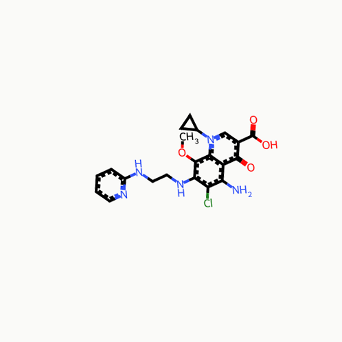 COc1c(NCCNc2ccccn2)c(Cl)c(N)c2c(=O)c(C(=O)O)cn(C3CC3)c12